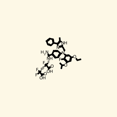 CCOc1cc(OC(C)C)c(F)c(N(Cc2nc(-c3ccccc3)c(C)[nH]2)c2ccc(C(=N)N)cc2)c1.O=C(O)C(F)(F)F.O=C(O)C(F)(F)F